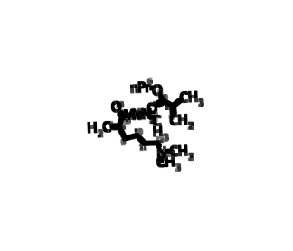 C=C(C)C(=O)OCCC.C=C(CCCCN(C)C)C(N)=O.CNC